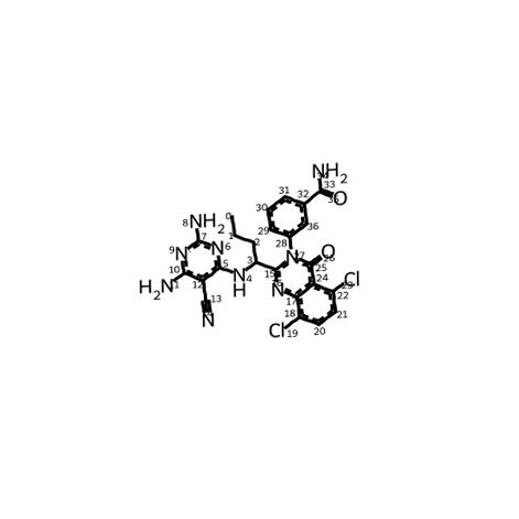 CCCC(Nc1nc(N)nc(N)c1C#N)c1nc2c(Cl)ccc(Cl)c2c(=O)n1-c1cccc(C(N)=O)c1